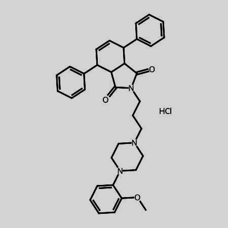 COc1ccccc1N1CCN(CCCN2C(=O)C3C(c4ccccc4)C=CC(c4ccccc4)C3C2=O)CC1.Cl